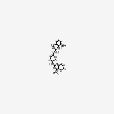 CC(C)c1cccc(C(C)C)c1NC(=O)NCC1CCC(Nc2nc3c(c(N(C)C)n2)CCCC3)CC1